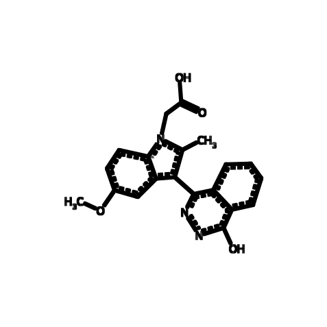 COc1ccc2c(c1)c(-c1nnc(O)c3ccccc13)c(C)n2CC(=O)O